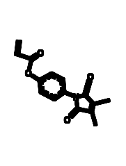 C=CC(=O)Oc1ccc(N2C(=O)C(C)=C(C)C2=O)cc1